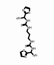 CCCC(NC(=S)NCCCNC(=S)NC(CCC)c1nccs1)c1nccs1